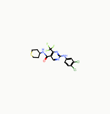 O=C(NC1CCSCC1)c1cnc(Nc2ccc(Cl)c(Cl)c2)nc1C(F)(F)F